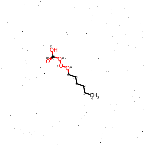 CCCCCCOOOC(=O)O